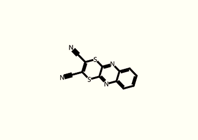 N#CC1=C(C#N)Sc2nc3ccccc3nc2S1